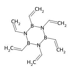 C=CB1N(C=C)B(C=C)N(C=C)B(C=C)N1C=C